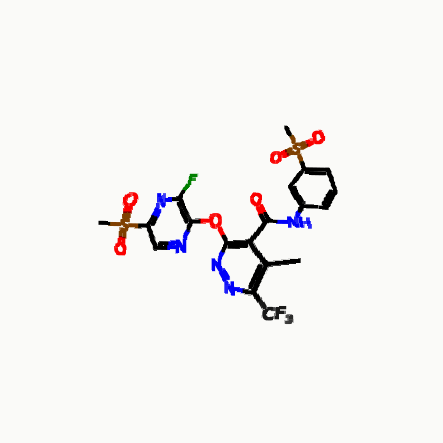 Cc1c(C(F)(F)F)nnc(Oc2ncc(S(C)(=O)=O)nc2F)c1C(=O)Nc1cccc(S(C)(=O)=O)c1